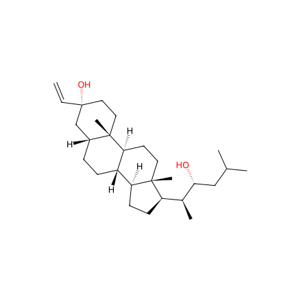 C=C[C@@]1(O)CC[C@@]2(C)[C@H](CC[C@@H]3[C@@H]2CC[C@]2(C)[C@@H]([C@H](C)[C@H](O)CC(C)C)CC[C@@H]32)C1